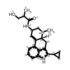 CC(CO)C(=O)NC1C=C2c3cccc4[nH]c(C5CC5)c(c34)C[C@H]2N(C)C1